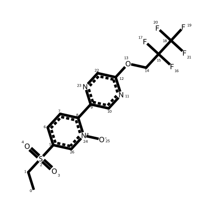 CCS(=O)(=O)c1ccc(-c2cnc(OCC(F)(F)C(F)(F)F)cn2)[n+]([O-])c1